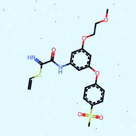 C=CSC(=N)C(=O)Nc1cc(OCCOC)cc(Oc2ccc(S(C)(=O)=O)cc2)c1